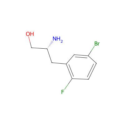 N[C@@H](CO)Cc1cc(Br)ccc1F